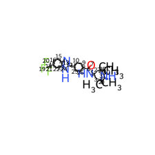 CC1(C)CC(NC(=O)c2ccc(-c3nc4ccc(C(F)(F)F)cc4[nH]3)cc2)CC(C)(C)N1